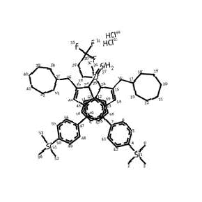 C[Si](C)(C)c1ccc(-c2cccc3c2C=C(CC2CCCCCC2)[CH]3[Zr]([CH3])(=[SiH2])([CH2]CC(F)(F)F)[CH]2C(CC3CCCCCC3)=Cc3c(-c4ccc([Si](C)(C)C)cc4)cccc32)cc1.Cl.Cl